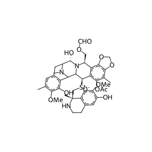 COc1cc2c(cc1O)CCN[C@]2(C)C[S+]([O-])[C@@H]1c2c(OC(C)=O)c(C)c3c(c2[C@H](COC=O)N2C1C1c4c(cc(C)c(OC)c4O)CC([C@@H]2O)N1C)OCO3